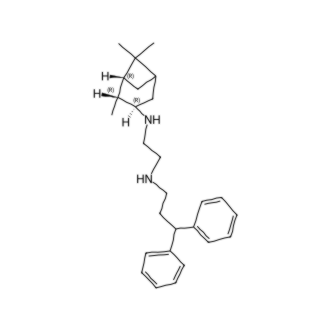 C[C@@H]1[C@H]2CC(C[C@H]1NCCNCCC(c1ccccc1)c1ccccc1)C2(C)C